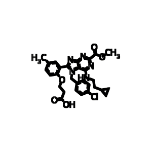 COC(=O)c1nc(NCCC2CC2)c2c(n1)nc(-c1cc(C)ccc1OCCC(=O)O)n2Cc1ccc(Cl)cc1